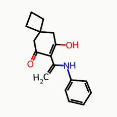 C=C(Nc1ccccc1)C1=C(O)CC2(CCC2)CC1=O